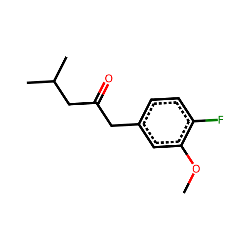 COc1cc(CC(=O)CC(C)C)ccc1F